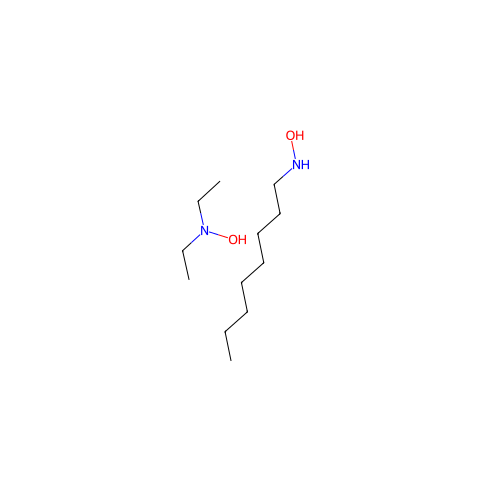 CCCCCCCCNO.CCN(O)CC